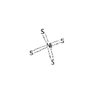 [S]=[Ni](=[S])(=[S])=[S]